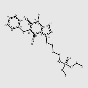 CCOP(=O)(CC)OCCCCn1cnc2c1c(=O)n(Cc1ccccc1)c(=O)n2C